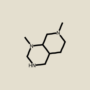 CN1CCC2CNCN(C)C2C1